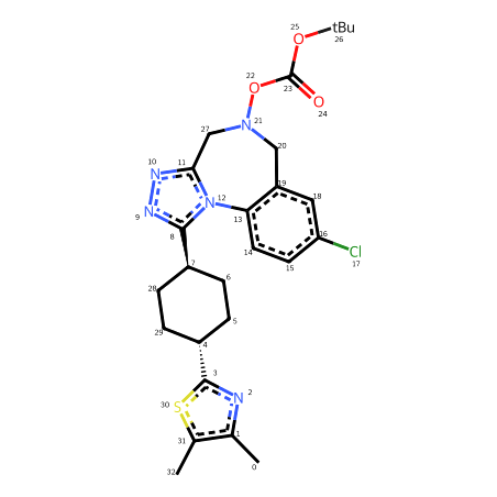 Cc1nc([C@H]2CC[C@H](c3nnc4n3-c3ccc(Cl)cc3CN(OC(=O)OC(C)(C)C)C4)CC2)sc1C